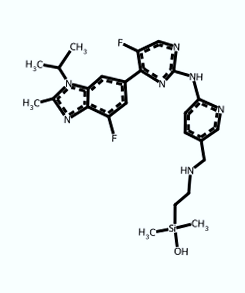 Cc1nc2c(F)cc(-c3nc(Nc4ccc(CNCC[Si](C)(C)O)cn4)ncc3F)cc2n1C(C)C